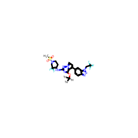 [2H]C([2H])([2H])Oc1nc(N[C@@H]2CCN(S(C)(=O)=O)CC2(F)F)nn2ccc(-c3ccc4nnn(CC(F)(F)F)c4c3)c12